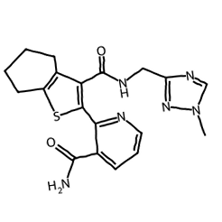 Cn1cnc(CNC(=O)c2c(-c3ncccc3C(N)=O)sc3c2CCCC3)n1